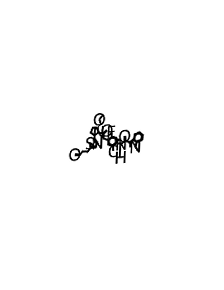 COC[C@@H]1CC[C@@H](c2ncc(CCC=O)s2)N1C(=O)Cc1cc(Cl)c(NC(=O)c2cn(C)c3ccccc23)cc1F